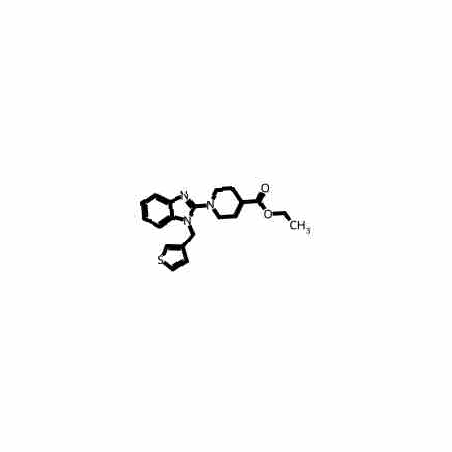 CCOC(=O)C1CCN(c2nc3ccccc3n2Cc2ccsc2)CC1